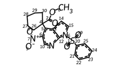 COC(=O)C1(c2c([N+](=O)[O-])cnc3c2ccn3S(=O)(=O)c2ccccc2)CCCCC1